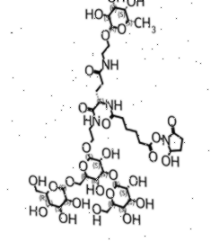 C[C@@H]1O[C@@H](OCCNC(=O)CC[C@H](NC(=O)CCCCC(=O)ON2C(=O)CCC2O)C(=O)NCCO[C@H]2O[C@H](CO[C@H]3O[C@H](CO)[C@@H](O)[C@H](O)[C@@H]3O)[C@@H](O)[C@H](O[C@H]3O[C@H](CO)[C@@H](O)[C@H](O)[C@@H]3O)[C@@H]2O)[C@@H](O)[C@H](O)[C@@H]1O